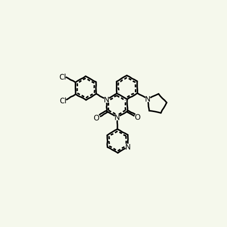 O=c1c2c(N3CCCC3)cccc2n(-c2ccc(Cl)c(Cl)c2)c(=O)n1-c1cccnc1